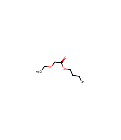 CC(=O)OCOCC(=O)OCCCC(C)C